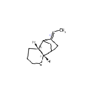 C/C=C1\CC2CC1[C@H]1CCCO[C@@H]21